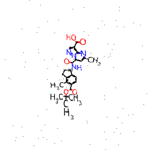 Cc1cc(C(=O)N[C@H]2CCc3c2ccc(C(=O)OC(C)(C)C)c3C)n2ncc(C(=O)O)c2n1